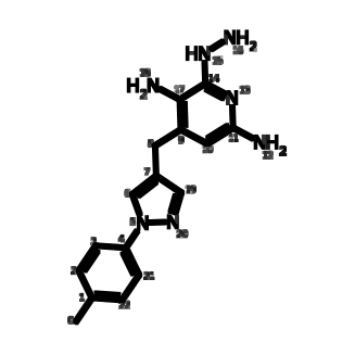 Cc1ccc(-n2cc(Cc3cc(N)nc(NN)c3N)cn2)cc1